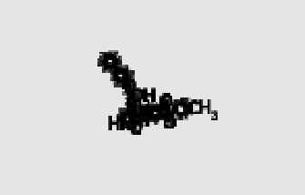 CN1CCC(N2C(=O)c3cc4nc(-c5c(NCC(O)COc6ccc(-c7ccccc7)cc6)cc[nH]c5=O)[nH]c4cc3C2=O)CC1